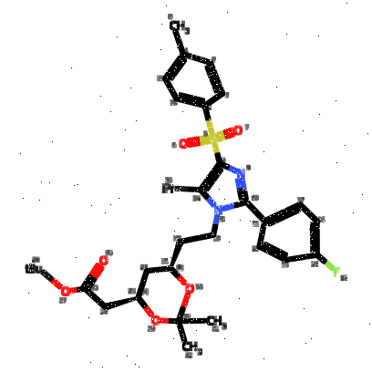 Cc1ccc(S(=O)(=O)c2nc(-c3ccc(F)cc3)n(CC[C@@H]3C[C@H](CC(=O)OC(C)(C)C)OC(C)(C)O3)c2C(C)C)cc1